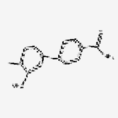 NC(=O)c1ccc(-c2ccc(F)c(C=O)c2)cc1